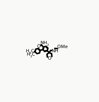 COCCNCC1(c2ccc(C(N)=O)c(C3=CCC(C)(C)CC3)c2)CCOCC1